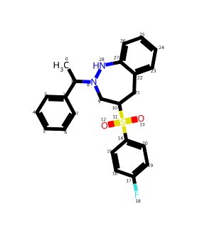 CC(c1ccccc1)N1CC(S(=O)(=O)c2ccc(F)cc2)Cc2ccccc2N1